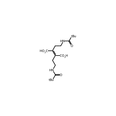 CC(C)(C)C(=O)NCC/C(C(=O)O)=C(/CCNC(=O)C(C)(C)C)C(=O)O